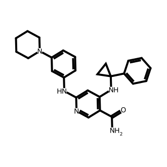 NC(=O)c1cnc(Nc2cccc(N3CCCCC3)c2)cc1NC1(c2ccccc2)CC1